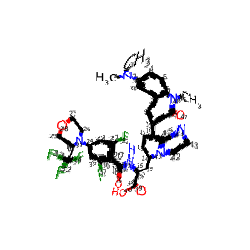 CN(C)c1ccc2c(c1)cc(-c1ccc(C[C@H](NC(=O)c3c(F)cc(N4CCOC[C@@H]4C(F)(F)F)cc3F)C(=O)O)n3ccnc13)c(=O)n2C